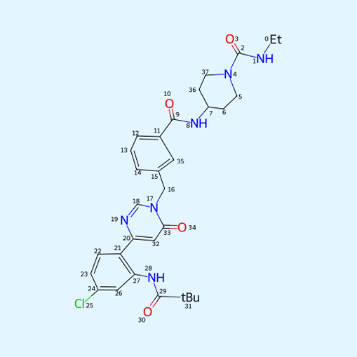 CCNC(=O)N1CCC(NC(=O)c2cccc(Cn3cnc(-c4ccc(Cl)cc4NC(=O)C(C)(C)C)cc3=O)c2)CC1